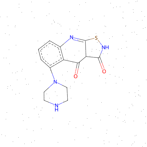 O=C1NSC2=Nc3cccc(N4CCNCC4)c3C(=O)C12